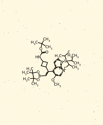 COc1cnc2c(ccn2[Si](C(C)C)(C(C)C)C(C)C)c1/C(=C/B1OC(C)(C)C(C)(C)O1)C1CC(NC(=O)OC(C)(C)C)C1